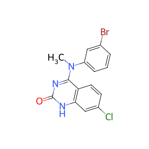 CN(c1cccc(Br)c1)c1nc(=O)[nH]c2cc(Cl)ccc12